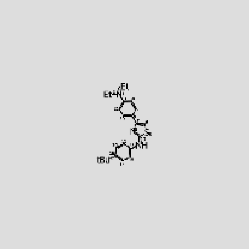 CCN(CC)c1ccc(-c2csc(Nc3ccc(C(C)(C)C)cc3)n2)cc1